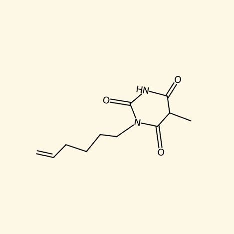 C=CCCCCN1C(=O)NC(=O)C(C)C1=O